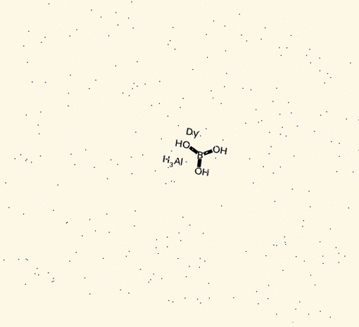 OB(O)O.[AlH3].[Dy]